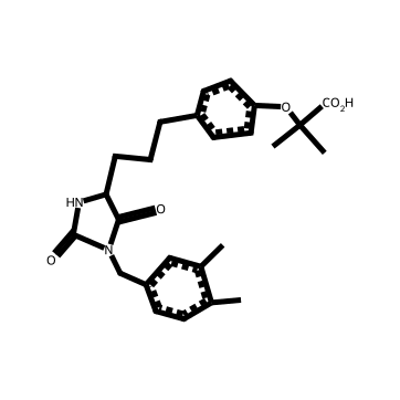 Cc1ccc(CN2C(=O)NC(CCCc3ccc(OC(C)(C)C(=O)O)cc3)C2=O)cc1C